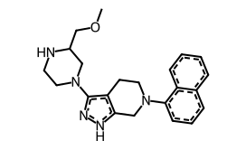 COCC1CN(c2n[nH]c3c2CCN(c2cccc4ccccc24)C3)CCN1